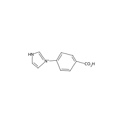 O=C(O)c1ccc(-[n+]2cc[nH]c2)cc1